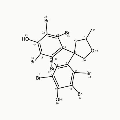 CC1CC(c2c(Br)c(Br)c(O)c(Br)c2Br)(c2c(Br)c(Br)c(O)c(Br)c2Br)CO1